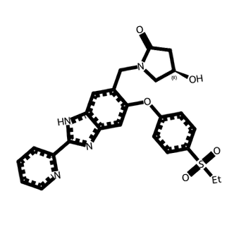 CCS(=O)(=O)c1ccc(Oc2cc3nc(-c4ccccn4)[nH]c3cc2CN2C[C@H](O)CC2=O)cc1